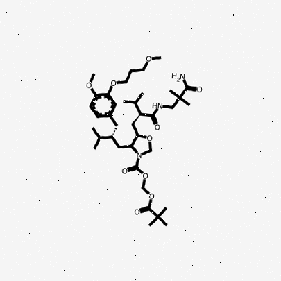 COCCCOc1cc(C[C@H](CC2C(C[C@H](C(=O)NCC(C)(C)C(N)=O)C(C)C)OCN2C(=O)OCOC(=O)C(C)(C)C)C(C)C)ccc1OC